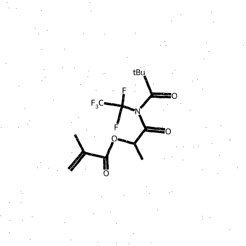 C=C(C)C(=O)OC(C)C(=O)N(C(=O)C(C)(C)C)C(F)(F)C(F)(F)F